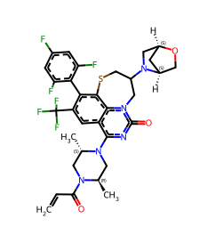 C=CC(=O)N1C[C@H](C)N(c2nc(=O)n3c4c(c(-c5c(F)cc(F)cc5F)c(C(F)(F)F)cc24)SCC(N2C[C@@H]4C[C@H]2CO4)C3)C[C@H]1C